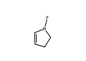 FN1C=CCC1